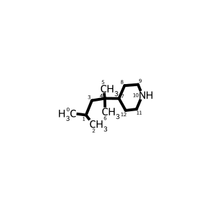 CC(C)CC(C)(C)C1CCNCC1